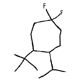 CC(C)C1CCC(F)(F)CCC1C(C)(C)C